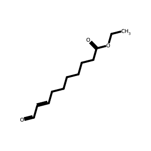 CCOC(=O)CCCCCC/C=C/C=O